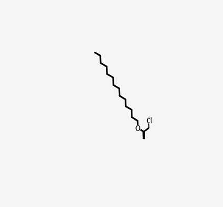 C=C(CCl)OCCCCCCCCCCCCCC